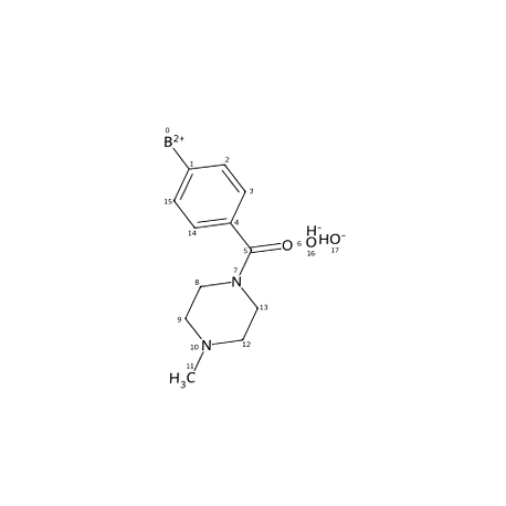 [B+2]c1ccc(C(=O)N2CCN(C)CC2)cc1.[OH-].[OH-]